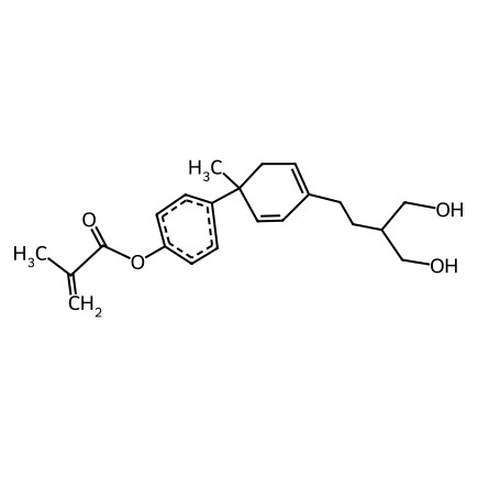 C=C(C)C(=O)Oc1ccc(C2(C)C=CC(CCC(CO)CO)=CC2)cc1